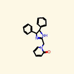 O=c1ccccn1CC1=NC(c2ccccc2)C(c2ccccc2)N1